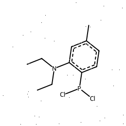 CCN(CC)c1cc(C)ccc1P(Cl)Cl